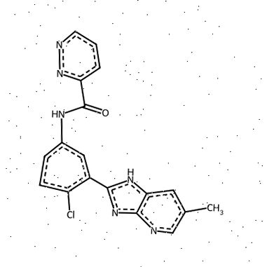 Cc1cnc2nc(-c3cc(NC(=O)c4cccnn4)ccc3Cl)[nH]c2c1